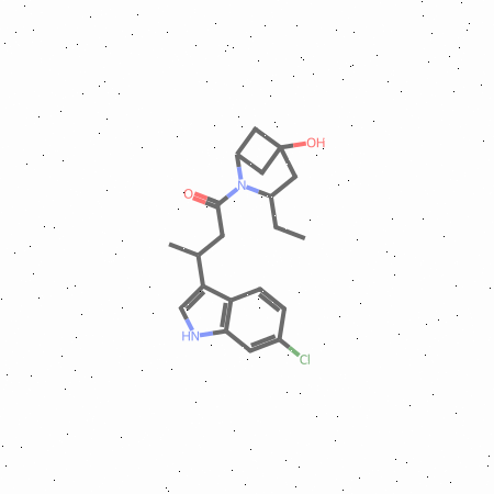 CCC1CC2(O)CC(C2)N1C(=O)CC(C)c1c[nH]c2cc(Cl)ccc12